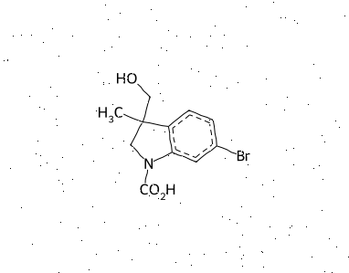 CC1(CO)CN(C(=O)O)c2cc(Br)ccc21